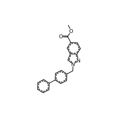 COC(=O)c1ccc2nn(Cc3ccc(-c4ccccc4)cc3)cc2c1